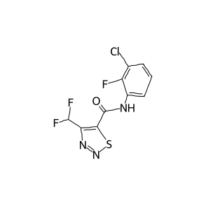 O=C(Nc1cccc(Cl)c1F)c1snnc1C(F)F